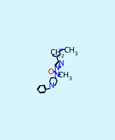 C=C/C(=C\C=C/C)c1cn(C(=O)N(C)C2CCN(Cc3ccccc3)CC2)cn1